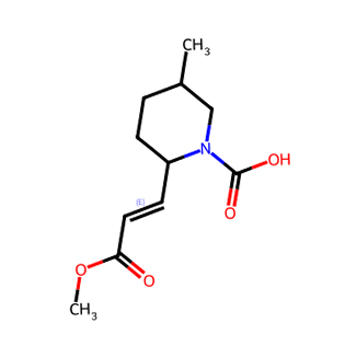 COC(=O)/C=C/C1CCC(C)CN1C(=O)O